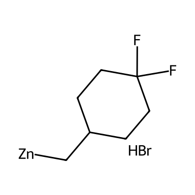 Br.FC1(F)CCC([CH2][Zn])CC1